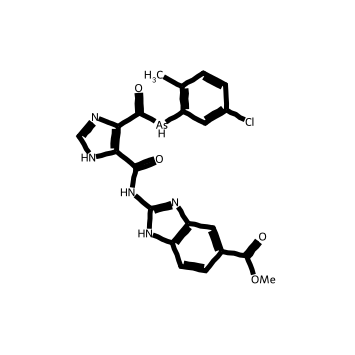 COC(=O)c1ccc2[nH]c(NC(=O)c3[nH]cnc3C(=O)[AsH]c3cc(Cl)ccc3C)nc2c1